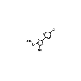 Nc1cc(-c2ccc(Cl)cc2)sc1OC=O